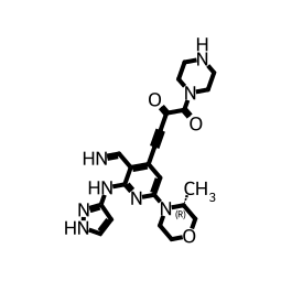 C[C@@H]1COCCN1c1cc(C#CC(=O)C(=O)N2CCNCC2)c(C=N)c(Nc2cc[nH]n2)n1